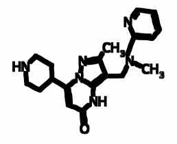 Cc1nn2c(C3CCNCC3)cc(=O)[nH]c2c1CN(C)Cc1ccccn1